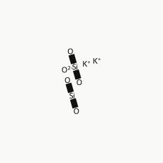 O=[Si]=O.O=[Si]=O.[K+].[K+].[O-2]